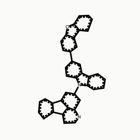 c1ccc2c(c1)-c1ccnc3cc(-n4c5ccccc5c5cc(-c6ccc7oc8ccccc8c7c6)ccc54)cc-2c13